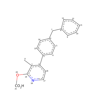 Cc1c(-c2ccc(Cc3ccccc3)cc2)ccnc1OC(=O)O